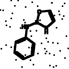 C1=CON(Nc2ccccc2)N1